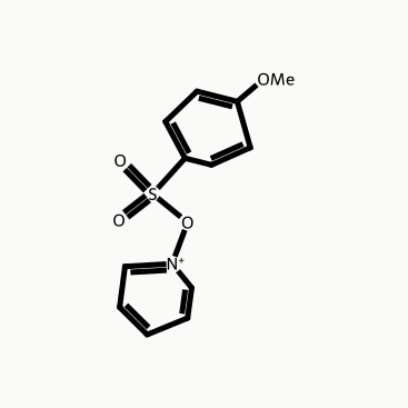 COc1ccc(S(=O)(=O)O[n+]2ccccc2)cc1